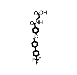 O=C(O)CCNC(=O)c1ccc(OCc2ccc(-c3ccc(C(F)(F)F)cc3)cc2)cc1